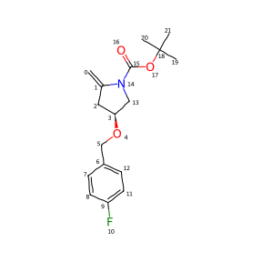 C=C1C[C@H](OCc2ccc(F)cc2)CN1C(=O)OC(C)(C)C